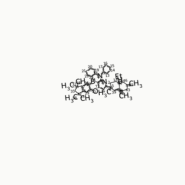 CCC1C[C@@](C)(c2cc3c4c(n2)N(c2ccccc2)c2ccccc2B4c2cc4c(cc2O3)C(C)(C)CC4(C)C)C=C2[C@H](C)CC(C)C[C@H]21